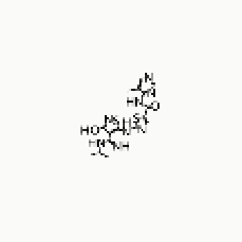 Cc1cncnc1NC(=O)c1cnc(Nc2snc(O)c2C(=N)NC(C)C)s1